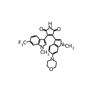 Cn1cc(C2=C(c3cn(C)c4cc(C(F)(F)F)ccc34)C(=O)NC2=O)c2ccc(N3CCOCC3)cc21